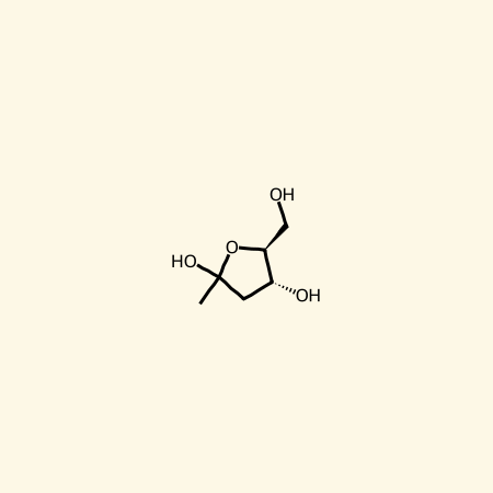 CC1(O)C[C@@H](O)[C@H](CO)O1